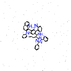 C=C/C=C(/c1nc(-c2ccccc2)nc(-c2ccccc2)n1)C(N)c1cc2c(cc1-c1ccccc1N)c1c3ccccc3ccc1n2-c1ccccc1